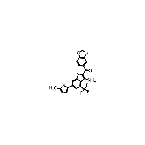 Cc1ccc(-c2cc(C(F)(F)F)c3c(N)c(C(=O)c4ccc5c(c4)OCO5)sc3c2)s1